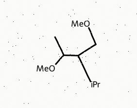 COC[C](C(C)C)C(C)OC